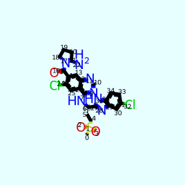 CS(=O)(=O)CC[C@H](Nc1ncnc2cc(C(=O)N3CCCC3N)c(Cl)cc12)c1nc2cc(Cl)ccc2[nH]1